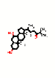 CC(C)C(=O)CCC(C)C1CCC2C3C(O)CC4CC(O)CCC4(C)C3CCC12C